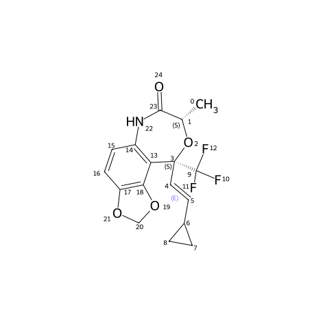 C[C@@H]1O[C@](/C=C/C2CC2)(C(F)(F)F)c2c(ccc3c2OCO3)NC1=O